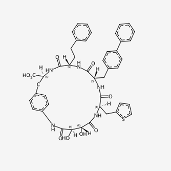 O=C(O)[C@@H]1Cc2ccc(cc2)NC(=O)[C@H](O)[C@@H](O)C(=O)N[C@H](Cc2cccs2)C(=O)N[C@@H](Cc2ccc(-c3ccccc3)cc2)C(=O)N[C@@H](CCc2ccccc2)C(=O)N1